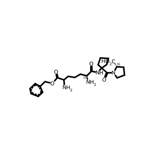 NC(CCC[C@H](N)C(=O)NC1(C(=O)N2CCC[C@H]2C(=O)O)CCCC1)C(=O)OCc1ccccc1